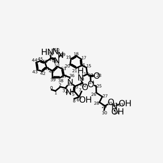 CCCc1nc(C(C)(C)O)c(C(=O)NC(Cc2ccccc2)C(=O)OCCCCC(C)ON(O)O)n1Cc1ccc(-c2ccccc2-c2nnn[nH]2)cc1